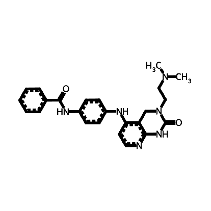 CN(C)CCN1Cc2c(Nc3ccc(NC(=O)c4ccccc4)cc3)ccnc2NC1=O